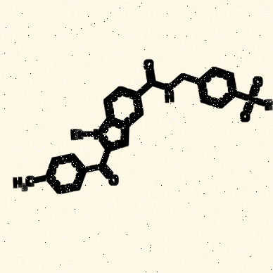 CCn1c(C(=O)c2ccc(C)cc2)cc2cc(C(=O)NCc3ccc(S(=O)(=O)CC)cc3)ccc21